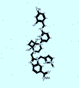 COC(=O)c1ccc2nc(CN3CCN(c4cccc(OCc5ccc(C#N)cc5F)n4)[C@H]4CC[C@H]43)n(Cc3ccn(C)n3)c2c1